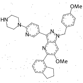 COc1ccc(Cn2nc(-c3ccc(N4CCNCC4)nc3)c3nc(-c4cccc5c4CCC5)c(OC)cc32)cc1